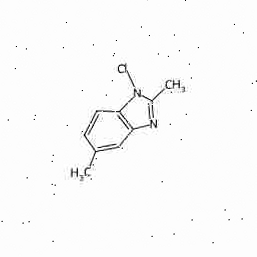 Cc1ccc2c(c1)nc(C)n2Cl